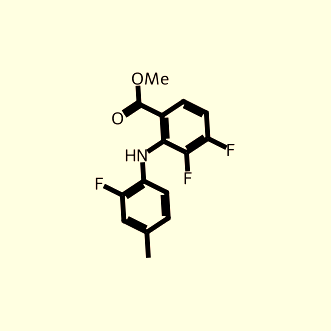 COC(=O)c1ccc(F)c(F)c1Nc1ccc(C)cc1F